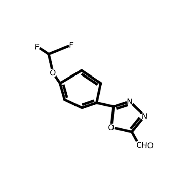 O=Cc1nnc(-c2ccc(OC(F)F)cc2)o1